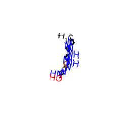 Cc1cccc(-c2nccc(Nc3ccnc(Nc4nc(CN5CCN[C@@H](CO)C5)cs4)n3)n2)n1